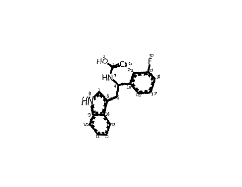 O=C(O)NC(Cc1c[nH]c2ccccc12)c1cccc(F)c1